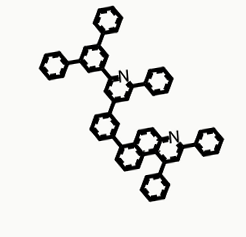 c1ccc(-c2cc(-c3ccccc3)cc(-c3cc(-c4cccc(-c5cccc6c5ccc5nc(-c7ccccc7)cc(-c7ccccc7)c56)c4)cc(-c4ccccc4)n3)c2)cc1